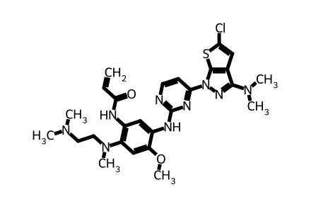 C=CC(=O)Nc1cc(Nc2nccc(-n3nc(N(C)C)c4cc(Cl)sc43)n2)c(OC)cc1N(C)CCN(C)C